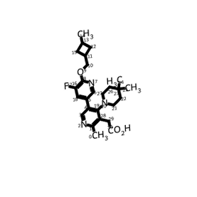 Cc1ncc(-c2cnc(OCC3CC(C)C3)c(F)c2)c(N2CCC(C)(C)CC2)c1CC(=O)O